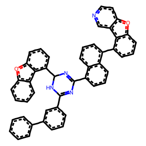 c1ccc(-c2cccc(C3=NC(c4cccc5c(-c6cccc7oc8ccncc8c67)cccc45)=NC(c4cccc5oc6ccccc6c45)N3)c2)cc1